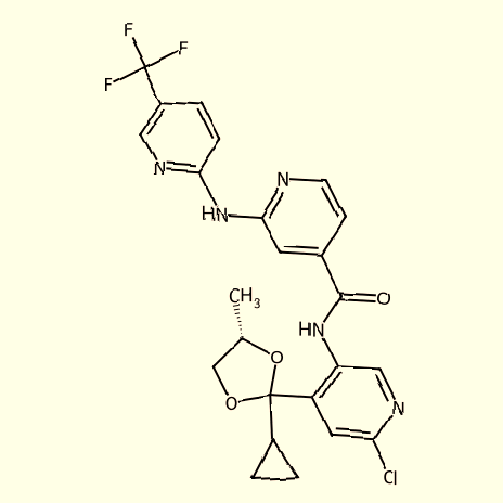 C[C@H]1COC(c2cc(Cl)ncc2NC(=O)c2ccnc(Nc3ccc(C(F)(F)F)cn3)c2)(C2CC2)O1